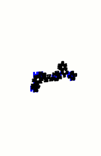 c1ccc(C(CCn2ccnc2)N2CCN(CCCc3c[nH]c4ccc(-n5cnnc5)cc34)CC2)cc1